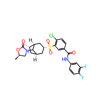 C[C@@H]1CN(C2[C@H]3C[C@@H](S(=O)(=O)c4cc(C(=O)Nc5ccc(F)c(F)c5)ccc4Cl)C[C@@H]2[C@@H](C)C3)C(=O)O1